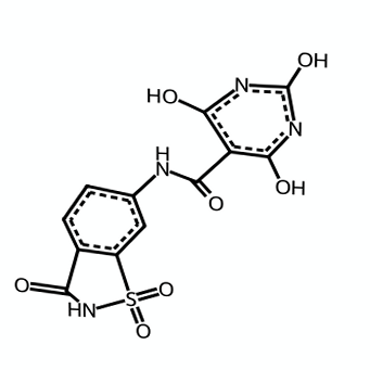 O=C1NS(=O)(=O)c2cc(NC(=O)c3c(O)nc(O)nc3O)ccc21